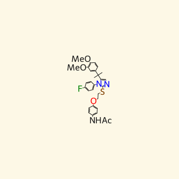 COc1ccc(C(C)(C)c2cnc(SCCOc3ccc(NC(C)=O)cc3)n2-c2ccc(F)cc2)cc1OC